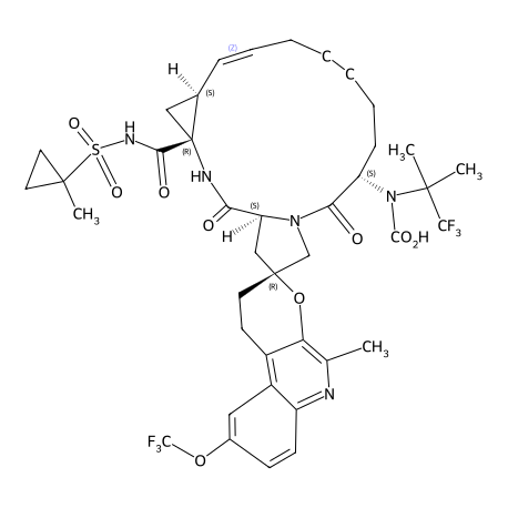 Cc1nc2ccc(OC(F)(F)F)cc2c2c1O[C@]1(CC2)C[C@H]2C(=O)N[C@]3(C(=O)NS(=O)(=O)C4(C)CC4)C[C@H]3/C=C\CCCCC[C@H](N(C(=O)O)C(C)(C)C(F)(F)F)C(=O)N2C1